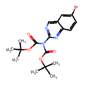 CC(C)(C)OC(=O)N(C(=O)OC(C)(C)C)c1ncc2cc(Br)ccc2n1